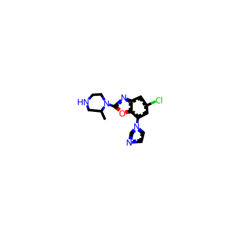 CC1CNCCN1c1nc2cc(Cl)cc(-n3ccnc3)c2o1